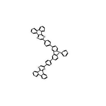 c1ccc(-n2c3ccc(-c4ccc(-c5cnc6c7ccccc7c7ccccc7c6n5)cc4)cc3c3cc(-c4ccc(-c5cnc6c7ccccc7c7ccccc7c6n5)cc4)ccc32)cc1